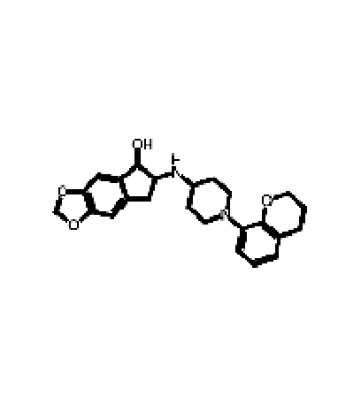 OC1c2cc3c(cc2CC1NC1CCN(c2cccc4c2OCCC4)CC1)OCO3